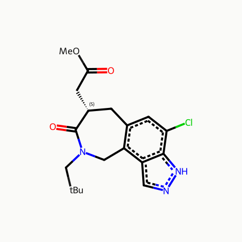 COC(=O)C[C@@H]1Cc2cc(Cl)c3[nH]ncc3c2CN(CC(C)(C)C)C1=O